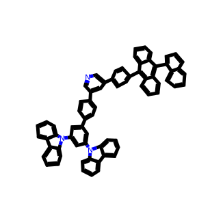 c1ccc2c(-c3c4ccccc4c(-c4ccc(-c5cncc(-c6ccc(-c7cc(-n8c9ccccc9c9ccccc98)cc(-n8c9ccccc9c9ccccc98)c7)cc6)c5)cc4)c4ccccc34)cccc2c1